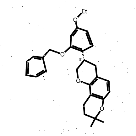 CCOc1ccc([C@H]2COc3c(ccc4c3CCC(C)(C)O4)C2)c(OCc2ccccc2)c1